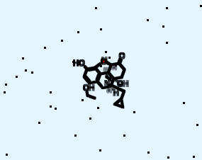 CCO.O=C1CC[C@@]2(O)[C@H]3Cc4ccc(O)c5c4[C@@]2(CCN3CC2CC2)[C@H]1O5